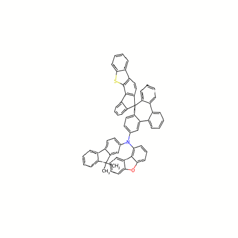 CC1(C)c2ccccc2-c2ccc(N(c3ccc4c(c3)-c3ccccc3-c3ccccc3C43c4ccccc4-c4c3ccc3c4sc4ccccc43)c3cccc4oc5ccccc5c34)cc21